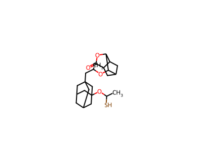 CC(S)OC12CC3CC(CC(CC(C)OC4C5CC6C(=O)OC4C6C5)(C3)C1)C2